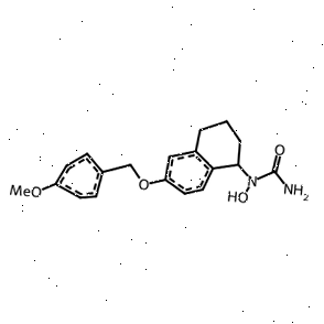 COc1ccc(COc2ccc3c(c2)CCCC3N(O)C(N)=O)cc1